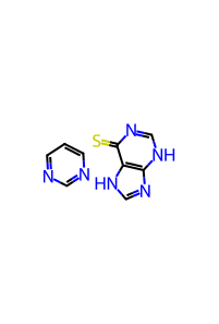 S=c1nc[nH]c2nc[nH]c12.c1cncnc1